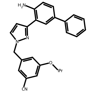 CC(C)Oc1cc(C#N)cc(Cn2ccc(-c3cc(-c4ccccc4)ccc3N)n2)c1